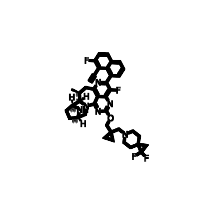 C#Cc1c(F)ccc2cccc(-c3nc4c5c(nc(OCC6(CN7CCC8(CC7)CC8(F)F)CC6)nc5c3F)N3C[C@H]5CC[C@H](N5)[C@@H]3[C@@H](C)C4)c12